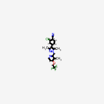 Cc1nn(Cc2nccc(OCC(F)(F)F)c2C)c(C)c1-c1ccc(C#N)c(Cl)c1